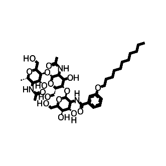 CCCCCCCCCCCOc1cccc(C(=O)NC2[C@H](O[C@H]3C(O)C(NC(C)=O)[C@H](O[C@@H]4C(CO)O[C@@H](C)C(NC(C)=O)[C@H]4O)O[C@H]3CO)OC(CO)[C@@H](O)[C@@H]2O)c1